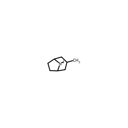 CC1CC2CCC(C1)N2I